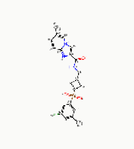 O=C(NCC1CC(S(=O)(=O)c2cc(F)cc(C(F)(F)F)c2)C1)c1cn2cc(C(F)(F)F)ccc2n1